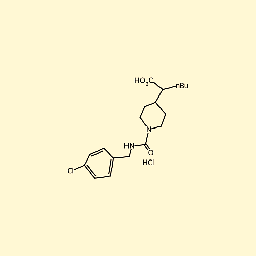 CCCCC(C(=O)O)C1CCN(C(=O)NCc2ccc(Cl)cc2)CC1.Cl